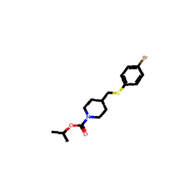 CC(C)OC(=O)N1CCC(CSc2ccc(Br)cc2)CC1